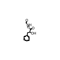 O=CNOC(=O)C(O)Cc1ccccc1